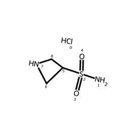 Cl.NS(=O)(=O)C1CNC1